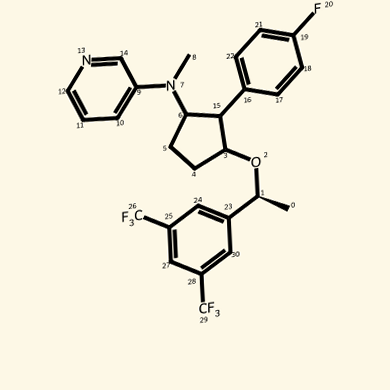 C[C@H](OC1CCC(N(C)c2cccnc2)C1c1ccc(F)cc1)c1cc(C(F)(F)F)cc(C(F)(F)F)c1